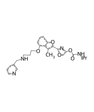 Cc1c(-c2nc(OC(=O)NC(C)C)co2)oc2cccc(OCCCNCc3cccnc3)c12